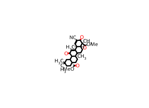 COC(=O)[C@@]12CCC3C(C(=O)C=C4[C@@]3(C)CC[C@H]3[C@](C)(C(=O)OC)C(=O)C(C#N)=C[C@]43C)C1CC(C)(C)CC2